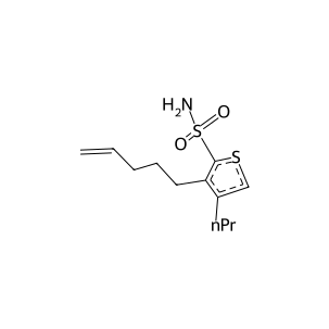 C=CCCCc1c(CCC)csc1S(N)(=O)=O